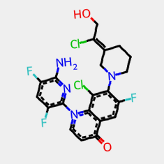 Nc1nc(-n2ccc(=O)c3cc(F)c(N4CCCC(=C(Cl)CO)C4)c(Cl)c32)c(F)cc1F